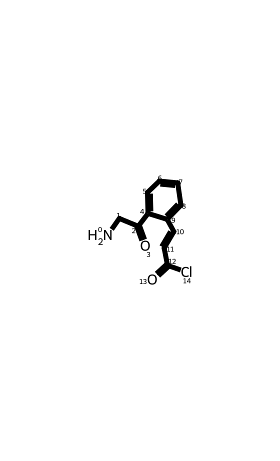 NCC(=O)c1ccccc1C=CC(=O)Cl